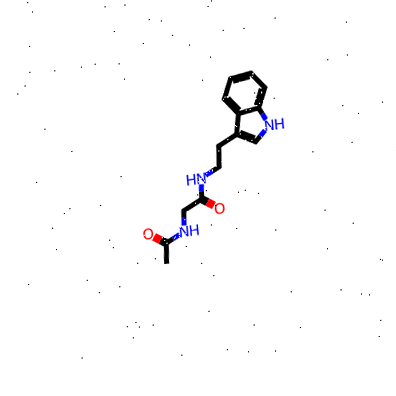 CC(=O)NCC(=O)NCCc1c[nH]c2ccccc12